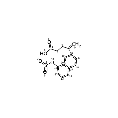 C=CCCC(=O)O.O=[SH](=O)Oc1cccc2ccccc12